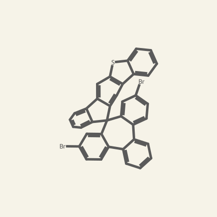 Brc1ccc2c(c1)C1(c3cc(Br)ccc3-c3ccccc3-2)c2ccccc2-c2cc3sc4ccccc4c3cc21